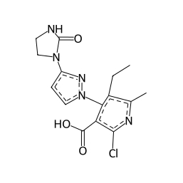 CCc1c(C)nc(Cl)c(C(=O)O)c1-n1ccc(N2CCNC2=O)n1